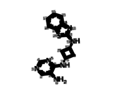 Nc1cncnc1N[C@H]1C[C@H](Nc2nc3ccccc3s2)C1